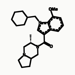 COc1cccc2c(C(=O)N3CC4CCCN4C[C@@H]3C)cn(CC3CCCCC3)c12